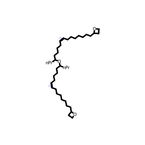 CCCC(CCCC/C=C\CCCCCCCC1CCO1)OC(CCC)CCCC/C=C\CCCCCCCC1CCO1